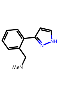 CNCc1ccccc1-c1cc[nH]n1